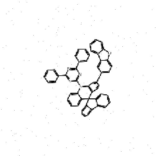 c1ccc(-c2nc(-c3ccccc3)nc(N3c4ccccc4C4(c5ccccc5-c5ccccc54)c4ccc(-c5ccc6oc7ccccc7c6c5)cc43)n2)cc1